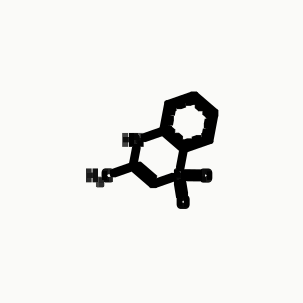 CC1=CS(=O)(=O)c2ccccc2N1